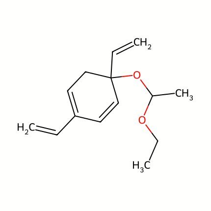 C=CC1=CCC(C=C)(OC(C)OCC)C=C1